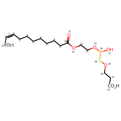 CCCCCCCC/C=C\CCCCCCCC(=O)OCCOP(O)SOCCC(=O)O